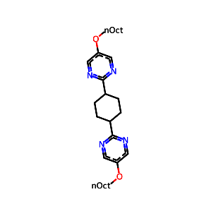 CCCCCCCCOc1cnc(C2CCC(c3ncc(OCCCCCCCC)cn3)CC2)nc1